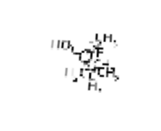 C=C([C@@H]1CC(CCO)C[C@H](C(F)(F)CC)C1)C(C)(C)C